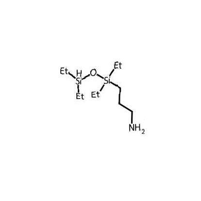 CC[SiH](CC)O[Si](CC)(CC)CCCN